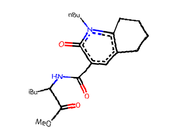 CCCCn1c2c(cc(C(=O)NC(C(=O)OC)C(C)CC)c1=O)CCCC2